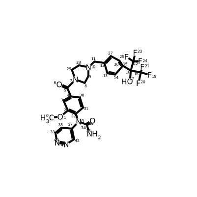 COc1cc(C(=O)N2CCN(Cc3ccc(C(O)(C(F)(F)F)C(F)(F)F)cc3)CC2)ccc1N(C(N)=O)c1ccnnc1